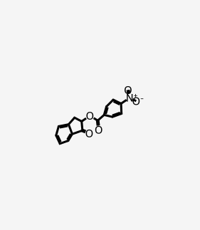 O=C(OC1Cc2ccccc2C1=O)c1ccc([N+](=O)[O-])cc1